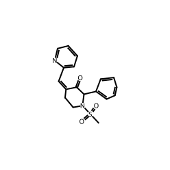 CS(=O)(=O)N1CC/C(=C/c2ccccn2)C(=O)C1c1ccccc1